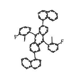 Cc1c(F)cccc1-c1c2ccc(-c3cccc4ccccc34)cc2c(-c2cccc(F)c2C)c2ccc(-c3cccc4ccccc34)cc12